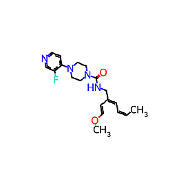 C\C=C/C=C(\C=C\OC)CNC(=O)N1CCN(c2ccncc2F)CC1